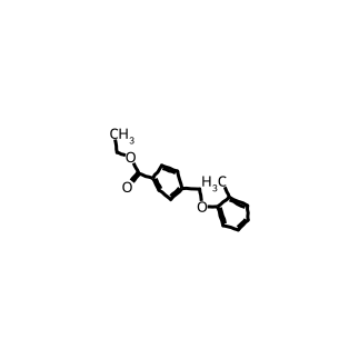 CCOC(=O)c1ccc(COc2ccccc2C)cc1